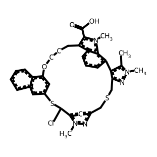 Cc1c2c(nn1C)CSCc1cc(n(C)n1)C(Cl)Sc1cc(c3ccccc3c1)OCCCc1c(C(=O)O)n(C)c3c-2cccc13